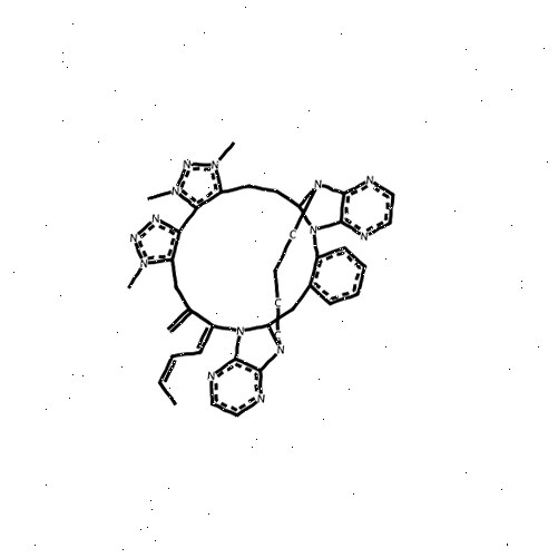 C=C1Cc2c(nnn2C)-c2c(n(C)n[n+]2C)CCC2N3CCCCN4c5nccnc5N(/C1=C/C=C\C)C4Cc1ccccc1N2c1nccnc13